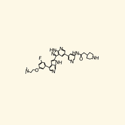 CN(C)CCOc1cc(F)cc(-c2cncc3[nH]c(-c4n[nH]c5ncc(-c6cncc(NC(=O)CC7CCNCC7)c6)cc45)cc23)c1